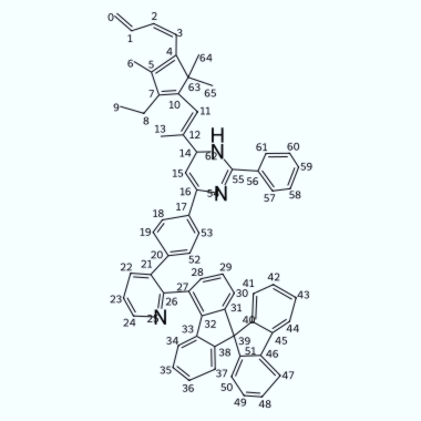 C=C/C=C\C1=C(C)C(CC)=C(/C=C(\C)C2C=C(c3ccc(-c4cccnc4-c4cccc5c4-c4ccccc4C54c5ccccc5-c5ccccc54)cc3)N=C(c3ccccc3)N2)C1(C)C